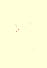 Cc1cc2ccccc2c(Cl)c1[C@@H](COC(=O)C(C)(C)C)OC(C)(C)C